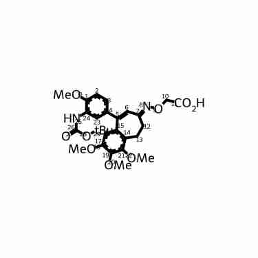 COc1ccc(C2=CC(=NOCC(=O)O)CCc3c2cc(OC)c(OC)c3OC)cc1NC(=O)OC(C)(C)C